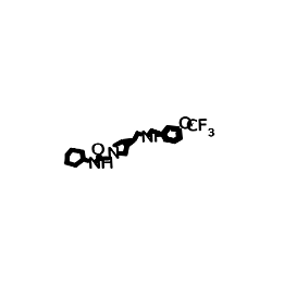 O=C(CN1CC2C(CNCc3cccc(OC(F)(F)F)c3)C2C1)NC1CCCCC1